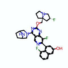 Oc1cc(-c2ncc3c(N4CC5CCC(C4)N5)nc(OC[C@@]45CCCN4C[C@H](F)C5)nc3c2F)c2c(F)cccc2c1